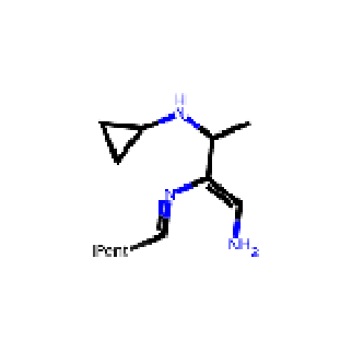 CCCC(C)/C=N/C(=C\N)C(C)NC1CC1